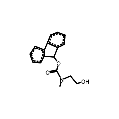 CN(CCO)C(=O)OC1c2ccccc2-c2ccccc21